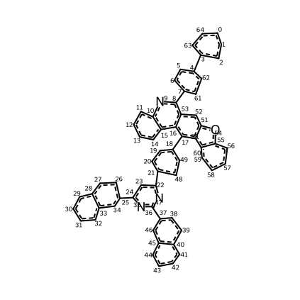 c1ccc(-c2ccc(-c3nc4ccccc4c4c(-c5ccc(-c6cc(-c7ccc8ccccc8c7)nc(-c7ccc8ccccc8c7)n6)cc5)c5c(cc34)oc3ccccc35)cc2)cc1